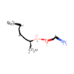 CSCC[C@@H](BOCN)C(=O)O